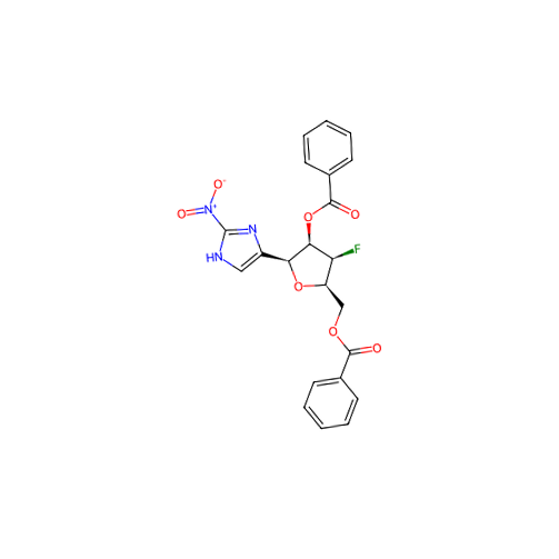 O=C(OC[C@H]1O[C@@H](c2c[nH]c([N+](=O)[O-])n2)[C@@H](OC(=O)c2ccccc2)[C@H]1F)c1ccccc1